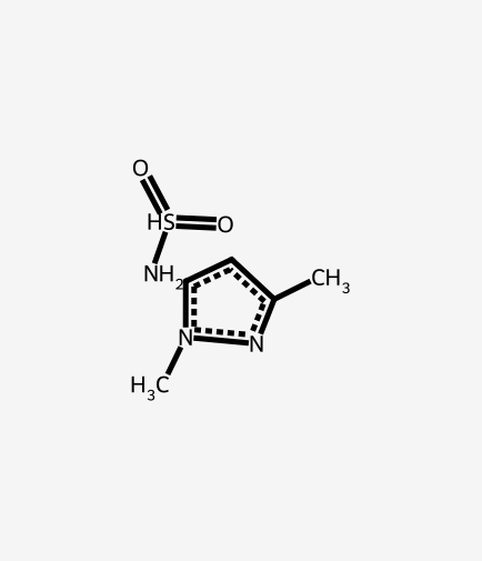 Cc1ccn(C)n1.N[SH](=O)=O